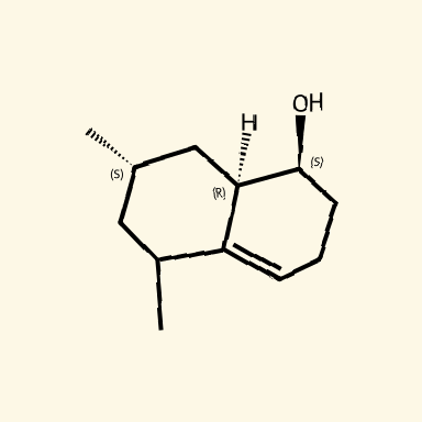 CC1C[C@H](C)C[C@@H]2C1=CCC[C@@H]2O